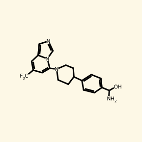 NC(O)c1ccc(C2CCN(c3cc(C(F)(F)F)cc4cncn34)CC2)cc1